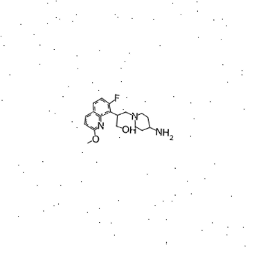 COc1ccc2ccc(F)c(C(CO)CN3CCC(N)CC3)c2n1